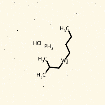 CCC[CH2][Mg][CH2]C(C)C.Cl.P